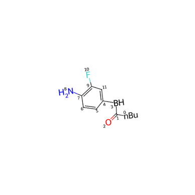 CCCCC(=O)Bc1ccc(N)c(F)c1